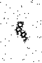 CCOc1ncc(N2CC3(CCNCC3)OCC2=O)cn1